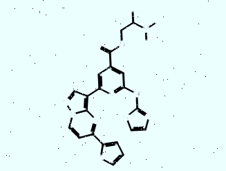 CCN(CC)C(C)CNC(=O)c1cc(Nc2ncc[nH]2)nc(-c2cnn3ccc(-c4cccs4)nc23)c1